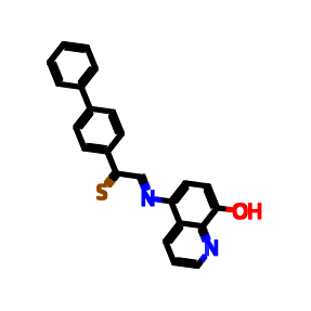 Oc1ccc(N=CC(=S)c2ccc(-c3ccccc3)cc2)c2cccnc12